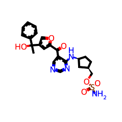 CC(O)(c1ccccc1)c1coc(C(=O)c2cncnc2N[C@H]2CC[C@@H](COS(N)(=O)=O)C2)c1